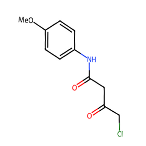 COc1ccc(NC(=O)CC(=O)CCl)cc1